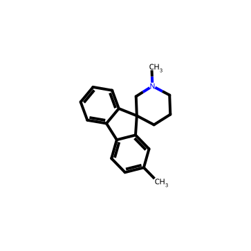 Cc1ccc2c(c1)C1(CCCN(C)C1)c1ccccc1-2